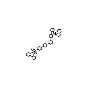 c1cc(-c2ccc(-c3ccc(-c4cnc5c6ccccc6c6ccccc6c5n4)cc3)cc2)cc(-c2ccc3c4ccccc4n(-c4cccc5ccccc45)c3c2)c1